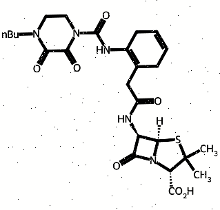 CCCCN1CCN(C(=O)NC2=C(CC(=O)N[C@@H]3C(=O)N4[C@@H]3SC(C)(C)[C@@H]4C(=O)O)CC=CC2)C(=O)C1=O